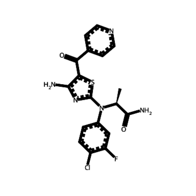 C[C@@H](C(N)=O)N(c1ccc(Cl)c(F)c1)c1nc(N)c(C(=O)c2ccncc2)s1